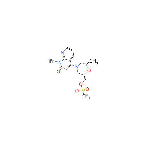 CC(C)n1c(=O)cc(N2C[C@H](COS(=O)(=O)C(F)(F)F)O[C@H](C)C2)c2cccnc21